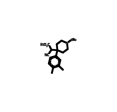 CCOC(=O)C(C#N)C1(c2ccc(C)c(C)c2)CCN(C(C)(C)C)CC1